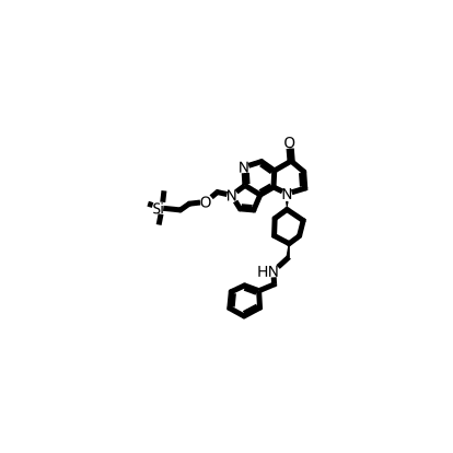 C[Si](C)(C)CCOCn1ccc2c1ncc1c(=O)ccn([C@H]3CC[C@H](CNCc4ccccc4)CC3)c12